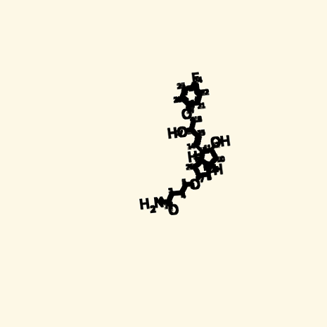 NC(=O)CCCOC1C[C@H]2C[C@@H](O)[C@H](C=CC(O)COc3ccc(F)cc3)[C@@H]2C1